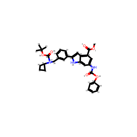 COC(=O)c1cc(NC(=O)Oc2ccccc2)cc2[nH]c(-c3cccc(CN(C(=O)OC(C)(C)C)C4CCC4)c3)cc12